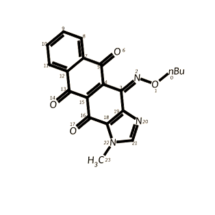 CCCCO/N=c1/c2c(=O)c3ccccc3c(=O)c=2c(=O)c2c1ncn2C